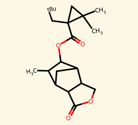 CC1C2CC(C3COC(=O)C23)C1OC(=O)C1(CC(C)(C)C)CC1(C)C